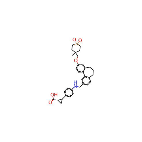 CC1(COc2ccc3c(c2)CCCc2ccc(CNc4ccc(C5C[C@@H]5C(=O)O)cc4)cc2-3)CCS(=O)(=O)CC1